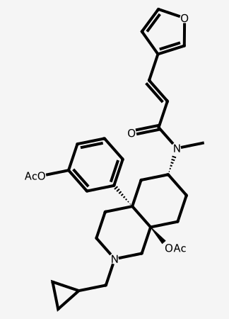 CC(=O)Oc1cccc([C@@]23CCN(CC4CC4)C[C@@]2(OC(C)=O)CC[C@@H](N(C)C(=O)/C=C/c2ccoc2)C3)c1